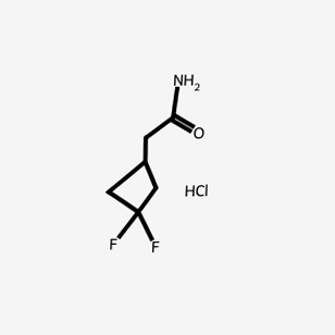 Cl.NC(=O)CC1CC(F)(F)C1